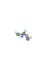 O=C(Cc1ccnc(Cl)n1)c1cc(Cl)cc(NSc2cc(F)ccc2F)c1F